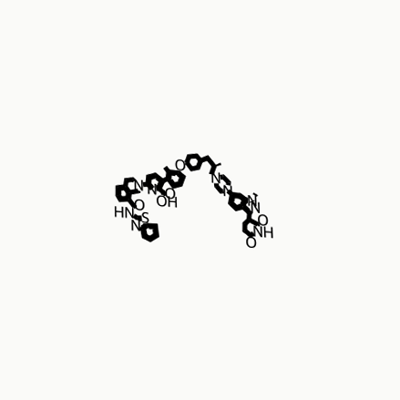 Cc1c(OC2CCC(C[C@@H](C)CN3CCN(c4ccc5c(C6CCC(=O)NC6=O)nn(C)c5c4)CC3)CC2)cccc1-c1ccc(N2CCc3cccc(C(=O)Nc4nc5ccccc5s4)c3C2)nc1C(=O)O